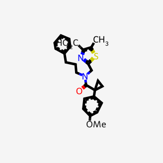 COc1ccc(C2(C(=O)N(CCCc3ccccc3)Cc3nc(C(=O)O)c(C)s3)CC2)cc1